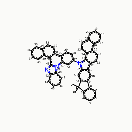 CC1(C)c2ccccc2-c2cc3c4ccc5c6ccccc6ccc5c4n(-c4ccc5c6ccc7ccccc7c6c6nc7ccccc7n6c5c4)c3cc21